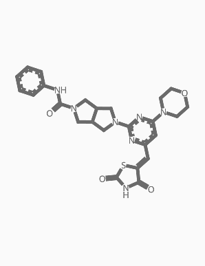 O=C1NC(=O)C(=Cc2cc(N3CCOCC3)nc(N3CC4CN(C(=O)Nc5ccccc5)CC4C3)n2)S1